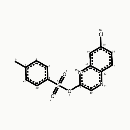 Cc1ccc(S(=O)(=O)Oc2cnc3ccc(Cl)cc3n2)cc1